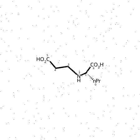 CCC[C@H](NCCC(=O)O)C(=O)O